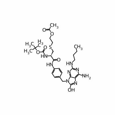 CCCCNc1nc(N)c2nc(O)n(Cc3ccc(NC(=O)[C@H](CSCCOC(C)=O)NC(=O)OC(C)(C)C)cc3)c2n1